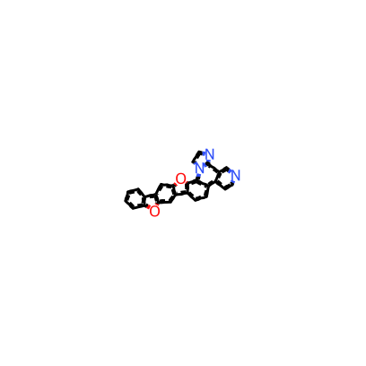 c1ccc2c(c1)oc1cc3c(cc12)oc1c3ccc2c3ccncc3c3nccn3c21